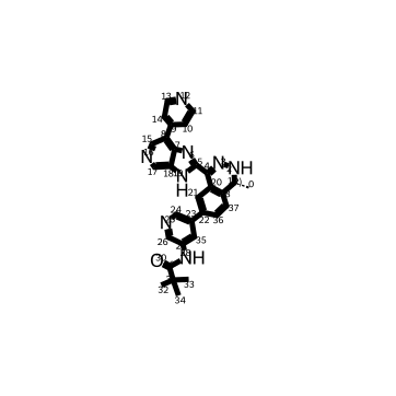 C[C@H]1NN=C(c2nc3c(-c4ccncc4)cncc3[nH]2)c2cc(-c3cncc(NC(=O)C(C)(C)C)c3)ccc21